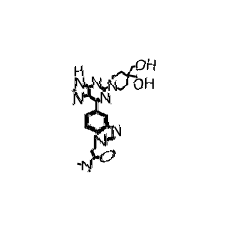 CN(C)C(=O)Cn1cnc2cc(-c3nc(N4CCC(CO)(CO)CC4)nc4[nH]cnc34)ccc21